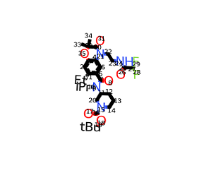 CCc1cc2c(cc1C(=O)N(C(C)C)[C@@H]1CCCN(C(=O)OC(C)(C)C)C1)N(CCNC(=O)C(F)F)C(=O)C(C)(C)O2